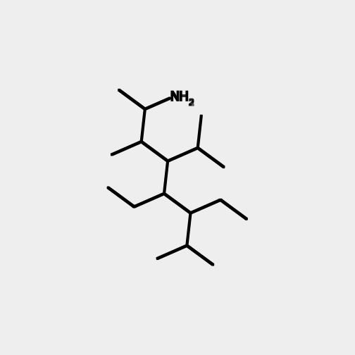 CCC(C(C)C)C(CC)C(C(C)C)C(C)C(C)N